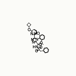 COc1cccc(O)c1-n1c(C(=O)NS(=O)(=O)Cc2ccccc2)nnc1C1=C=C=CC(OC2CCC2)=N1